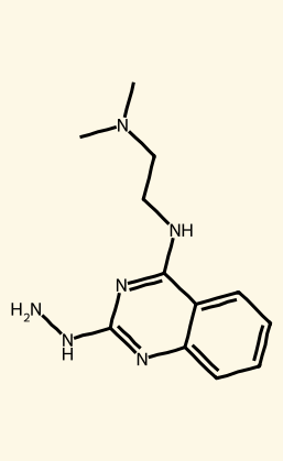 CN(C)CCNc1nc(NN)nc2ccccc12